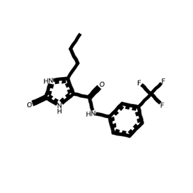 CCCc1[nH]c(=O)[nH]c1C(=O)Nc1cccc(C(F)(F)F)c1